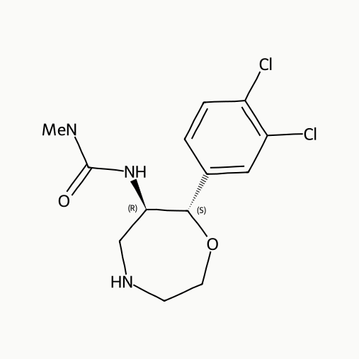 CNC(=O)N[C@@H]1CNCCO[C@H]1c1ccc(Cl)c(Cl)c1